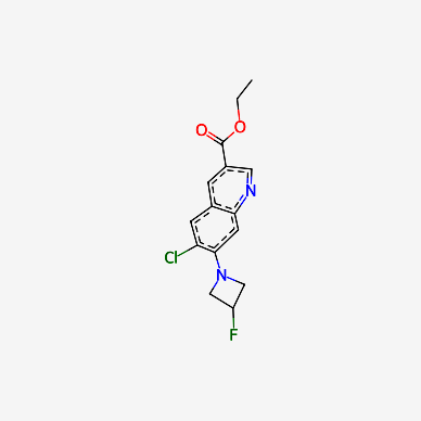 CCOC(=O)c1cnc2cc(N3CC(F)C3)c(Cl)cc2c1